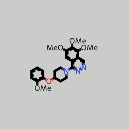 COc1ccccc1OC1CCN(c2nncc3c(OC)c(OC)c(OC)cc23)CC1